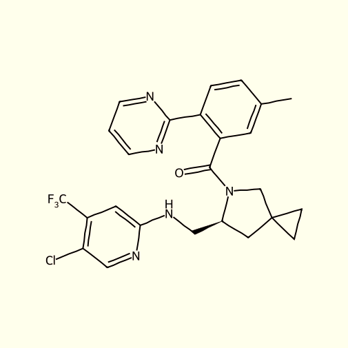 Cc1ccc(-c2ncccn2)c(C(=O)N2CC3(CC3)C[C@H]2CNc2cc(C(F)(F)F)c(Cl)cn2)c1